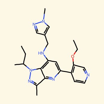 CCOc1cnccc1-c1cc(NCc2cnn(C)c2)c2c(n1)c(C)nn2C(C)CC